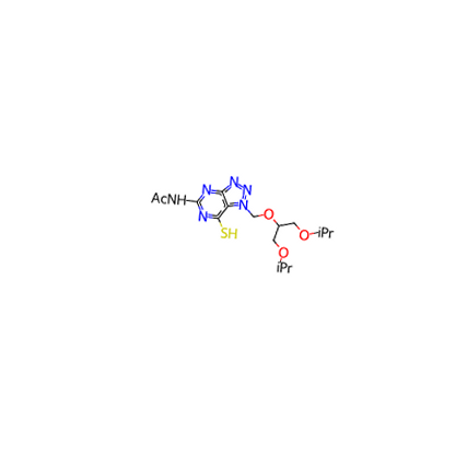 CC(=O)Nc1nc(S)c2c(nnn2COC(COC(C)C)COC(C)C)n1